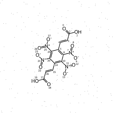 O=C(O)C=Cc1c([N+](=O)[O-])c([N+](=O)[O-])c(C=CC(=O)O)c([N+](=O)[O-])c1[N+](=O)[O-]